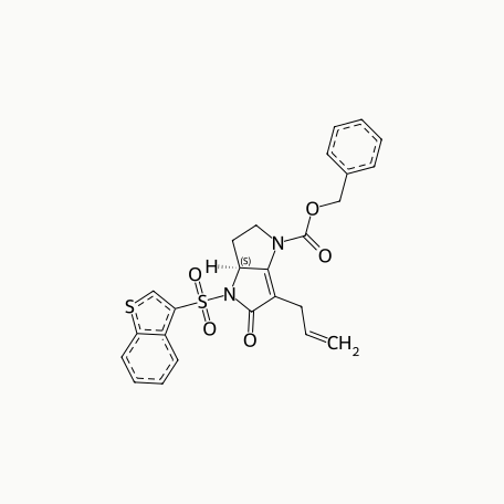 C=CCC1=C2[C@H](CCN2C(=O)OCc2ccccc2)N(S(=O)(=O)c2csc3ccccc23)C1=O